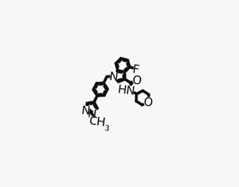 Cn1cc(-c2ccc(Cn3cc(C(=O)NC4CCOCC4)c4c(F)cccc43)cc2)cn1